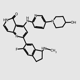 CNC1CCc2cc(F)c(-c3cc(Nc4ccc(N5CCC(O)CC5)cn4)c4c(=O)[nH]ccc4n3)cc21